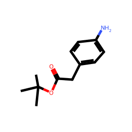 CC(C)(C)OC(=O)Cc1ccc(N)cc1